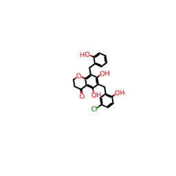 O=C1CCOc2c(Cc3ccccc3O)c(O)c(Cc3cc(Cl)ccc3O)c(O)c21